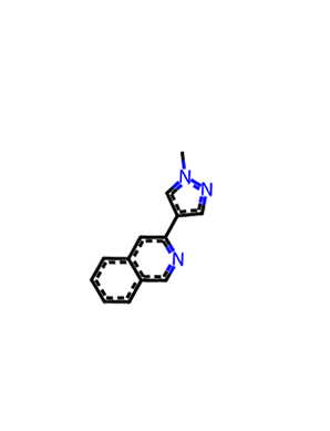 Cn1cc(-c2cc3ccccc3cn2)cn1